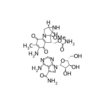 CO[C@@]12[C@H](COC(N)=O)C3=C(C(=O)C(C)=C(N)C3=O)N1C[C@@H]1N[C@@H]12.NC(=O)c1cn([C@@H]2O[C@H](CO)[C@@H](O)[C@H]2O)c2ncnc(N)c12